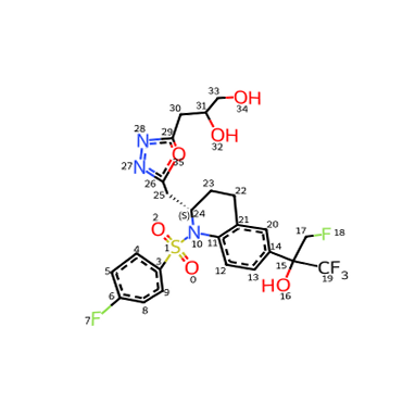 O=S(=O)(c1ccc(F)cc1)N1c2ccc(C(O)(CF)C(F)(F)F)cc2CC[C@H]1Cc1nnc(CC(O)CO)o1